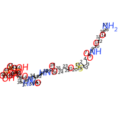 CC(C)(CCOC(=O)NCCOCCOCCN)SSCOCCCCOC(=O)NCC#Cc1cn(C2CC[C@@H](COP(=O)(O)OP(=O)(O)OP(=O)(O)O)O2)[nH]c1=O